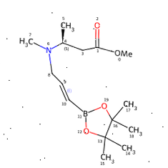 COC(=O)C[C@H](C)N(C)C/C=C/B1OC(C)(C)C(C)(C)O1